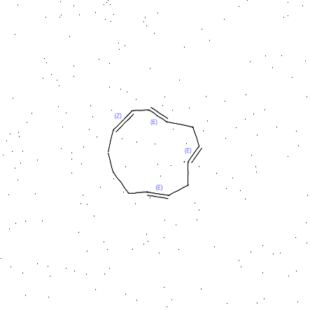 [C]1=C/C/C=C/C=C\CCC/C=C/C/1